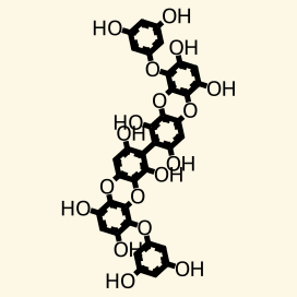 Oc1cc(O)cc(Oc2c(O)cc(O)c3c2Oc2c(cc(O)c(-c4c(O)cc5c(c4O)Oc4c(Oc6cc(O)cc(O)c6)c(O)cc(O)c4O5)c2O)O3)c1